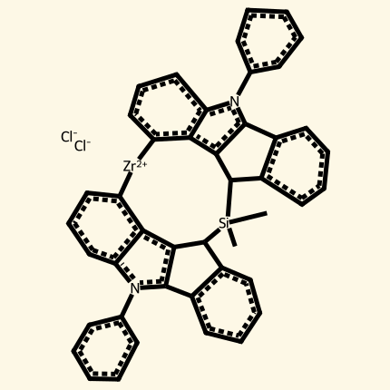 C[Si]1(C)C2c3ccccc3-c3c2c2[c](cccc2n3-c2ccccc2)[Zr+2][c]2cccc3c2c2c(n3-c3ccccc3)-c3ccccc3C21.[Cl-].[Cl-]